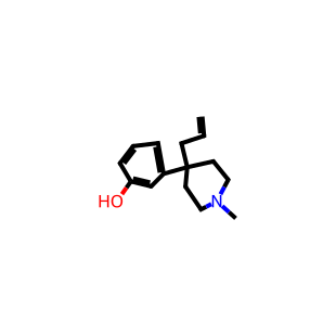 C=CCC1(c2cccc(O)c2)CCN(C)CC1